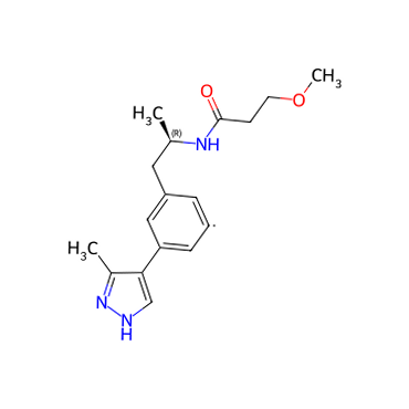 COCCC(=O)N[C@H](C)Cc1c[c]cc(-c2c[nH]nc2C)c1